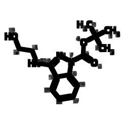 CC(C)(C)OC(=O)n1nc(NCCO)c2ccccc21